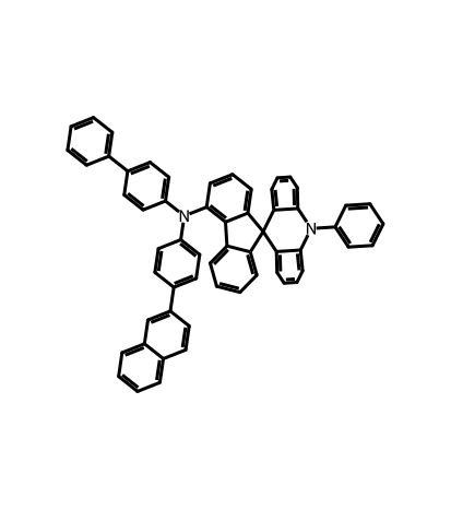 c1ccc(-c2ccc(N(c3ccc(-c4ccc5ccccc5c4)cc3)c3cccc4c3-c3ccccc3C43c4ccccc4N(c4ccccc4)c4ccccc43)cc2)cc1